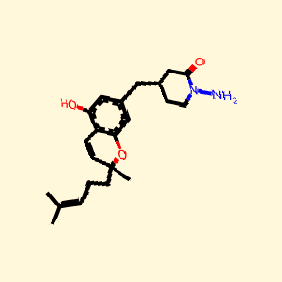 CC(C)=CCCC1(C)C=Cc2c(O)cc(CC3CCN(N)C(=O)C3)cc2O1